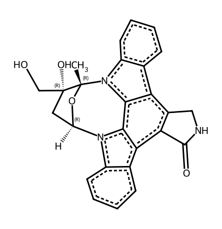 C[C@@]12O[C@H](C[C@@]1(O)CO)n1c3ccccc3c3c4c(c5c6ccccc6n2c5c31)CNC4=O